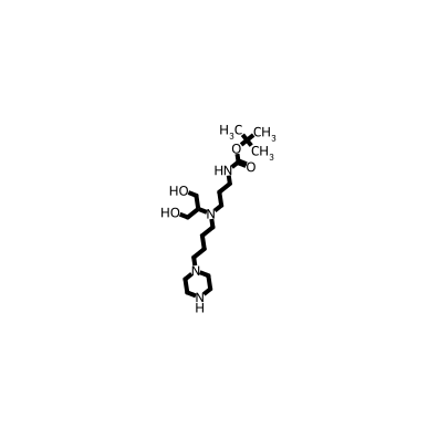 CC(C)(C)OC(=O)NCCCN(CCCCN1CCNCC1)C(CO)CO